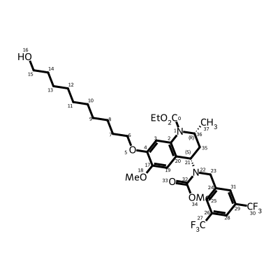 CCOC(=O)N1c2cc(OCCCCCCCCCCO)c(OC)cc2[C@@H](N(Cc2cc(C(F)(F)F)cc(C(F)(F)F)c2)C(=O)OC)C[C@H]1C